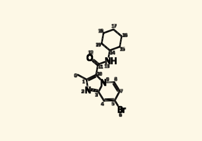 Cc1nc2cc(Br)ccn2c1C(=O)NC1CCCCC1